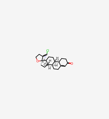 C[C@]12CC[C@H]3[C@@H](CCC4=CC(=O)CC[C@@H]43)[C@@H]1CC[C@@]21OCC/C1=C\Cl